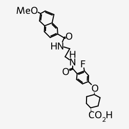 COc1ccc2cc(C(=O)NCCNC(=O)c3ccc(O[C@H]4CC[C@@H](C(=O)O)CC4)cc3F)ccc2c1